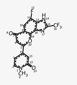 Cn1ccc(-c2cc(=O)c3cc(F)c4[nH]c(C(F)(F)F)nc4c3o2)cc1=O